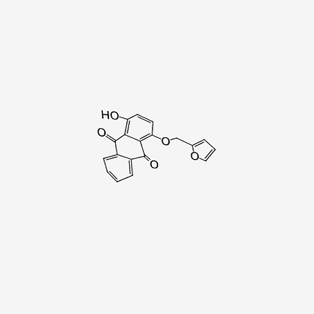 O=C1c2ccccc2C(=O)c2c(OCc3ccco3)ccc(O)c21